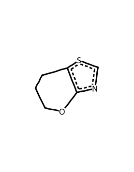 c1nc2c(s1)CCCO2